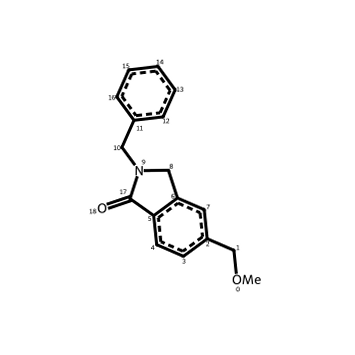 COCc1ccc2c(c1)CN(Cc1ccccc1)C2=O